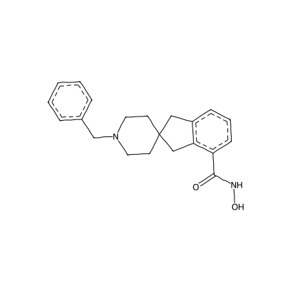 O=C(NO)c1cccc2c1CC1(CCN(Cc3ccccc3)CC1)C2